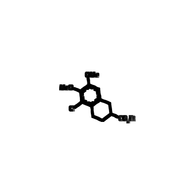 CCOC(=O)C1CCc2c(cc(OC)c(OC)c2Cl)C1